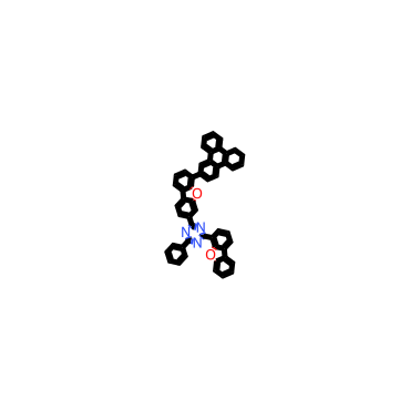 C1=Cc2c(c3ccccc3c3cc(-c4cccc5c4oc4cc(-c6nc(-c7ccccc7)nc(-c7cccc8c7oc7ccccc78)n6)ccc45)ccc23)CC1